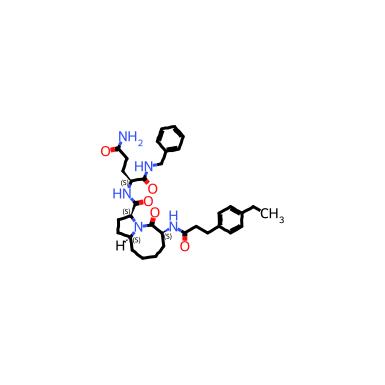 CCc1ccc(CCC(=O)N[C@H]2CCCC[C@H]3CC[C@@H](C(=O)N[C@@H](CCC(N)=O)C(=O)NCc4ccccc4)N3C2=O)cc1